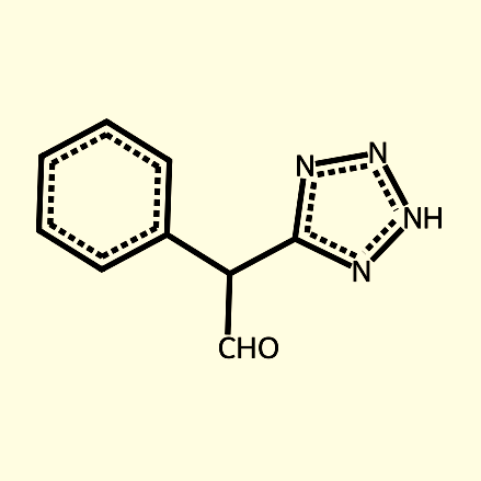 O=CC(c1ccccc1)c1nn[nH]n1